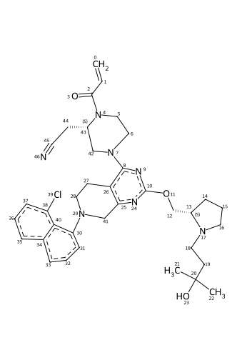 C=CC(=O)N1CCN(c2nc(OC[C@@H]3CCCN3CCC(C)(C)O)nc3c2CCN(c2cccc4cccc(Cl)c24)C3)C[C@@H]1CC#N